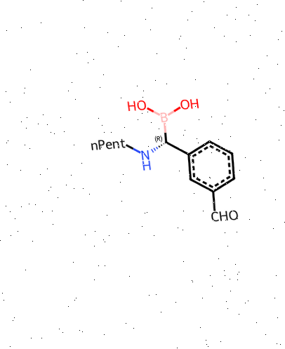 CCCCCN[C@H](B(O)O)c1cccc(C=O)c1